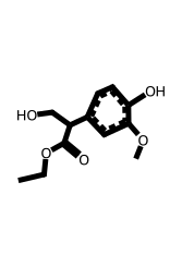 CCOC(=O)C(CO)c1ccc(O)c(OC)c1